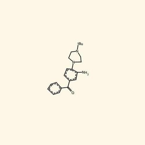 CC(C)(C)N1CCN(c2ccc(C(=O)c3ccccc3)cc2N)CC1